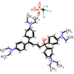 CCN(CC)c1ccc(C(=CC=CC(O)(c2ccc(N(CC)CC)cc2)c2ccc(N(CC)CC)cc2)c2ccc(N(CC)CC)cc2)cc1.O=S(=O)(O)C(F)(F)F